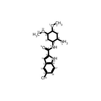 COC1CC(N)C(NC(=O)c2cc3cc(Cl)ccc3[nH]2)CC1OC